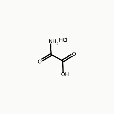 Cl.NC(=O)C(=O)O